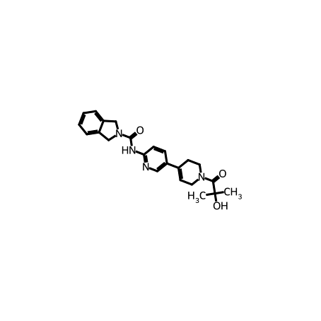 CC(C)(O)C(=O)N1CC=C(c2ccc(NC(=O)N3Cc4ccccc4C3)nc2)CC1